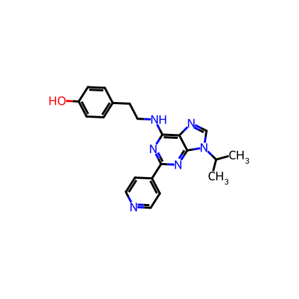 CC(C)n1cnc2c(NCCc3ccc(O)cc3)nc(-c3ccncc3)nc21